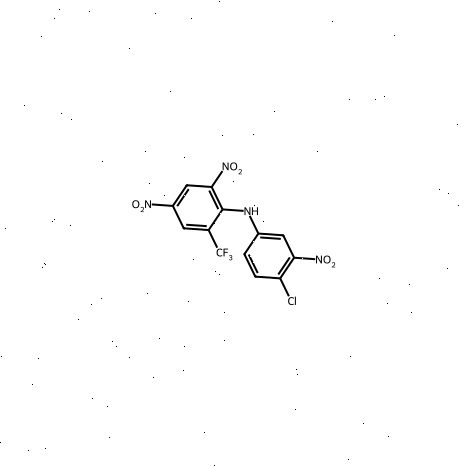 O=[N+]([O-])c1cc([N+](=O)[O-])c(Nc2ccc(Cl)c([N+](=O)[O-])c2)c(C(F)(F)F)c1